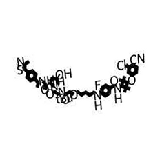 Cc1ncsc1-c1ccc(C(C)NC(=O)[C@@H]2C[C@@H](O)CN2C(=O)[C@@H](NC(=O)COCCCCCNc2ccc(C(=O)N[C@H]3C(C)(C)[C@H](Oc4ccc(C#N)c(Cl)c4)C3(C)C)cc2F)C(C)(C)C)cc1